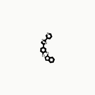 CCc1ccc(-c2csc(-c3cccnc3)n2)cc1OC1CCc2ccccc21